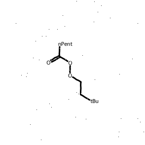 CCCCCC(=O)OOCCC(C)(C)C